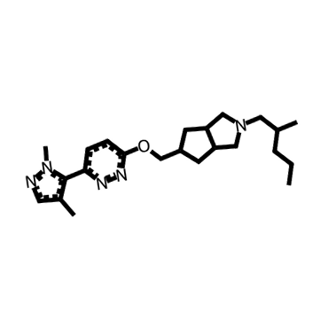 CCCC(C)CN1CC2CC(COc3ccc(-c4c(C)cnn4C)nn3)CC2C1